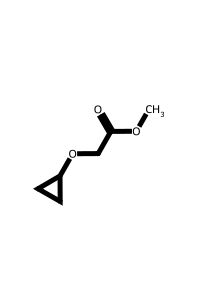 COC(=O)COC1CC1